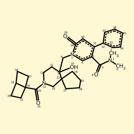 CN(C)C(=O)c1cn(CC2(O)CCN(C(=O)C34CCC3CC4)CC23CCCC3)c(=O)cc1-c1ccccc1